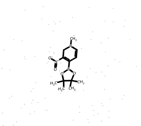 CN1C=CC(B2OC(C)(C)C(C)(C)O2)=C([N+](=O)[O-])C1